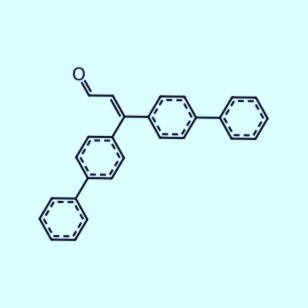 O=CC=C(c1ccc(-c2ccccc2)cc1)c1ccc(-c2ccccc2)cc1